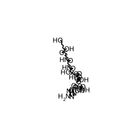 CC(C)(COP(=O)(O)OP(=O)(O)OC[C@H]1O[C@@H](n2cnc3c(N)ncnc32)[C@H](O)[C@@H]1OP(=O)(O)O)[C@@H](O)C(=O)NCCC(=O)NCCSC(=O)C(O)CCCCO